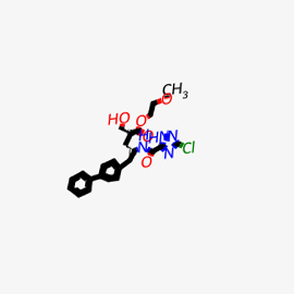 COCCOC(=O)[C@H](CO)C[C@@H](Cc1ccc(-c2ccccc2)cc1)NC(=O)c1nc(Cl)n[nH]1